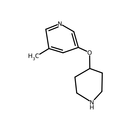 Cc1cncc(OC2CCNCC2)c1